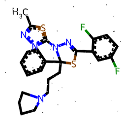 Cc1nnc(N2N=C(c3cc(F)ccc3F)SC2(CCCN2CCCC2)c2ccccc2)s1